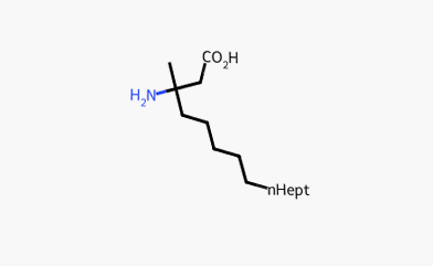 CCCCCCCCCCCCC(C)(N)CC(=O)O